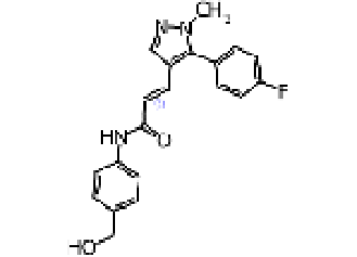 Cn1ncc(/C=C/C(=O)Nc2ccc(CO)cc2)c1-c1ccc(F)cc1